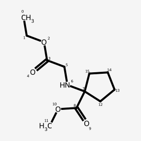 CCOC(=O)CNC1(C(=O)OC)CCCC1